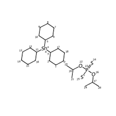 C1CC[CH]([Sn+]([CH]2CCCCC2)[CH]2CCCCC2)CC1.CC(C)OP(=S)([S-])OC(C)C